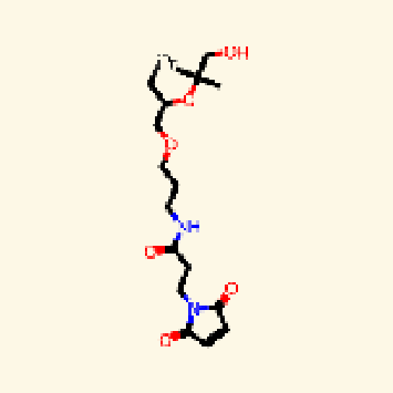 CC(C)CC(COCCCNC(=O)CCN1C(=O)C=CC1=O)OC(C)(C)CO